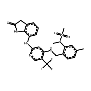 Cc1ccc(CNc2nc(Nc3cccc4c3NC(=O)C4)ncc2C(F)(F)F)c(N(C)S(C)(=O)=O)c1